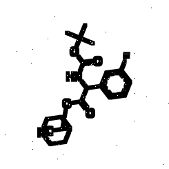 CC(C)(C)OC(=O)NC(C(=O)OC1CN2CCC1CC2)c1cccc(F)c1